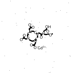 COCCN(CC(=O)O)C(=O)CN1CCN(CC(=O)[O-])CCN(CC(=O)[O-])CCN(CC(=O)[O-])CC1.[Gd+3]